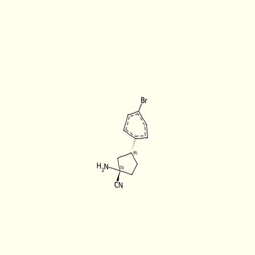 N#C[C@]1(N)CC[C@@H](c2ccc(Br)cc2)C1